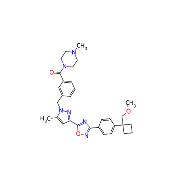 COCC1(c2ccc(-c3noc(-c4cc(C)n(Cc5cccc(C(=O)N6CCN(C)CC6)c5)n4)n3)cc2)CCC1